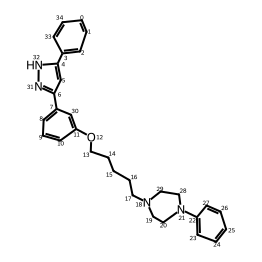 c1ccc(-c2cc(-c3cccc(OCCCCCN4CCN(c5ccccc5)CC4)c3)n[nH]2)cc1